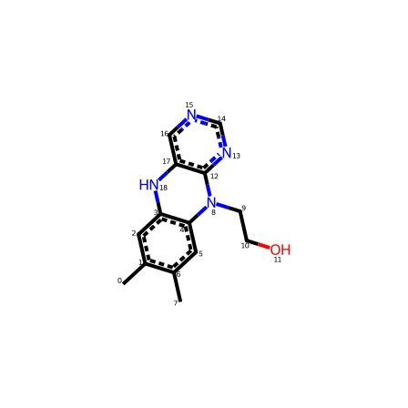 Cc1cc2c(cc1C)N(CCO)c1ncncc1N2